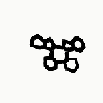 C1=Nc2c(n3c4ccccc4nc3c3nc4ccccc4n3c3ccccc23)CC1